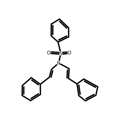 O=S(=O)(c1ccccc1)N(C=Cc1ccccc1)C=Cc1ccccc1